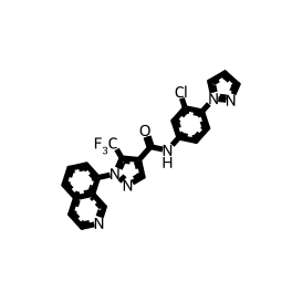 O=C(Nc1ccc(-n2cccn2)c(Cl)c1)c1cnn(-c2cccc3ccncc23)c1C(F)(F)F